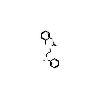 CCN(CCOC(=O)Oc1ccccc1C)c1ccccc1